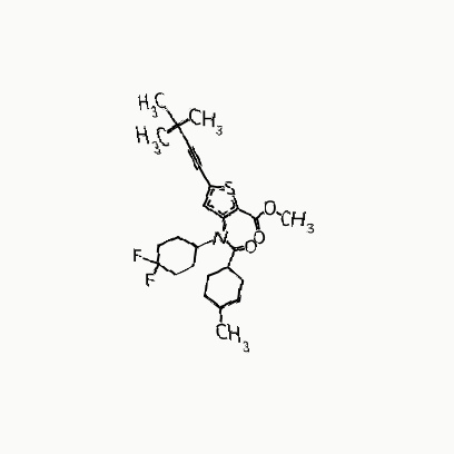 COC(=O)c1sc(C#CC(C)(C)C)cc1N(C(=O)C1CCC(C)CC1)C1CCC(F)(F)CC1